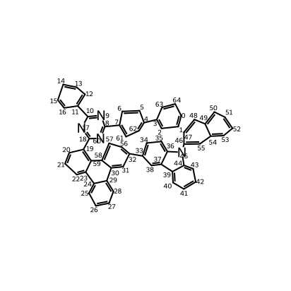 c1ccc(-c2ccc(-c3nc(-c4ccccc4)nc(-c4cccc5c6ccccc6c6cc(-c7ccc8c(c7)c7ccccc7n8-c7ccc8ccccc8c7)ccc6c45)n3)cc2)cc1